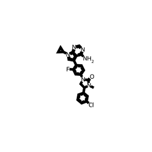 CN1C(=O)N(c2ccc(-c3cn(C4CC4)c4ncnc(N)c34)c(F)c2)CC1c1cccc(Cl)c1